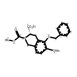 CCOC(=O)[C@@H]1Cc2c(ccc(OC)c2OCc2ccccc2)CN1C(=O)OC(C)(C)C